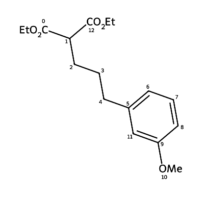 CCOC(=O)C(CCCc1cccc(OC)c1)C(=O)OCC